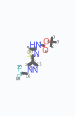 CC(C)(C)OC(=O)Nc1csc(-c2cnn(CC(F)F)c2)n1